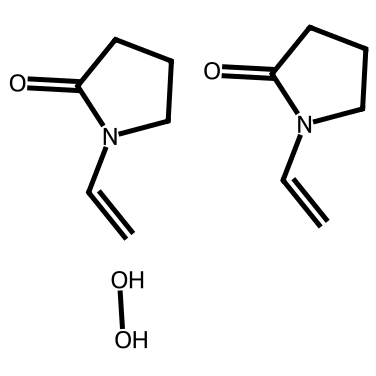 C=CN1CCCC1=O.C=CN1CCCC1=O.OO